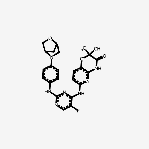 CC1(C)Oc2ccc(Nc3nc(Nc4ccc(N5CC6CC5CO6)cc4)ncc3F)nc2NC1=O